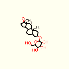 CC12CCC3C(CCC4C[C@H](O[C@@H]5OC(CO)[C@H](O)C(O)C5O)CCC43C)C1CCC2=O